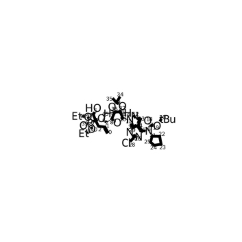 C=CCC(CO)(OC[C@H]1O[C@@H](n2ncc3c(N(C(=O)OC(C)(C)C)C4CCCC4)nc(Cl)nc32)[C@@H]2OC(C)(C)O[C@@H]21)P(=O)(OCC)OCC